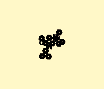 c1ccc(-c2nc(-c3cccc(-c4c5c(cc6c(-c7ccc8c9ccccc9c9ccccc9c8c7)nc7ccccc7c46)oc4ccccc45)c3)nc(-c3cccc4ccccc34)n2)cc1